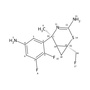 C[C@]1(c2cc(N)cc(F)c2F)N=C(N)S[C@@]2(CF)CC21